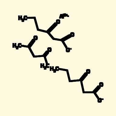 CC(=O)CC(C)=O.CCCC(=O)CC(=O)[O-].CCCC(=O)CC(=O)[O-].[Al+2]